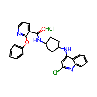 Cl.O=C(NC1CCC(Nc2cc(Cl)nc3ccccc23)CC1)c1cccnc1Oc1ccccc1